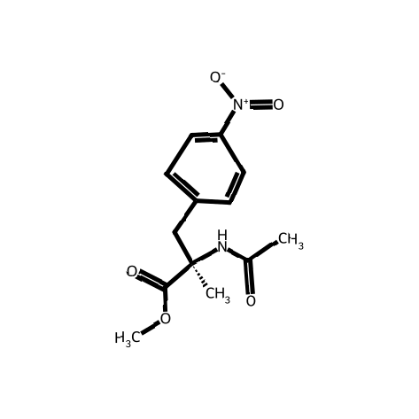 COC(=O)[C@@](C)(Cc1ccc([N+](=O)[O-])cc1)NC(C)=O